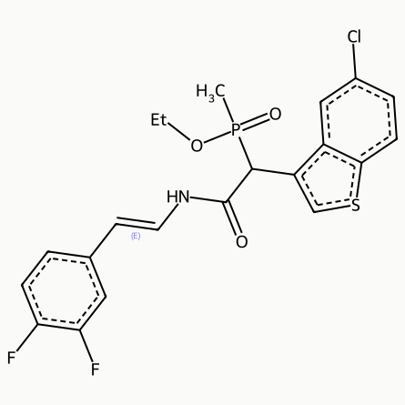 CCOP(C)(=O)C(C(=O)N/C=C/c1ccc(F)c(F)c1)c1csc2ccc(Cl)cc12